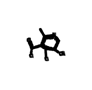 Cc1ncc(C#N)c(Cl)c1C(=O)Cl